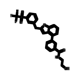 O=C(NCCO)c1cccc(-c2cccc3oc(Cc4cccc(S(=O)(=O)C(F)(F)F)c4)cc23)c1